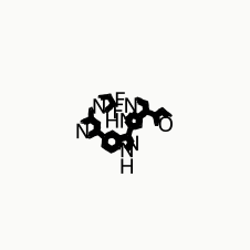 FC1(F)CCN(Cc2cncc(-c3ccc4[nH]nc(-c5cc6c(-c7ccoc7)ccnc6[nH]5)c4c3)c2)C1